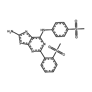 CS(=O)(=O)c1ccc(Nc2nc(-c3ccccc3S(C)(=O)=O)nc3sc(N)nc23)cc1